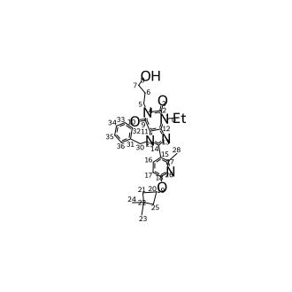 CCn1c(=O)n(CCCO)c(=O)c2c1nc(-c1ccc(OC3CC(C)(C)C3)nc1C)n2Cc1ccccc1